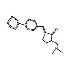 CN(C)CC1CC/C(=C\c2ccc(-c3ccccc3)cc2)C1=O